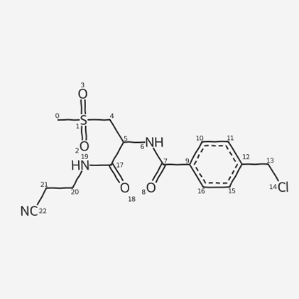 CS(=O)(=O)CC(NC(=O)c1ccc(CCl)cc1)C(=O)NCCC#N